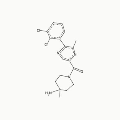 Cc1nc(C(=O)N2CCC(C)(N)CC2)cnc1-c1cccc(Cl)c1Cl